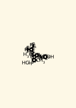 Cc1cc(F)ccc1C1CN(CC(=O)N2CCC(O)CC2)CCC1C(=O)N(C)Cc1cc(C(F)(F)F)cc(C(F)(F)F)c1.Cl